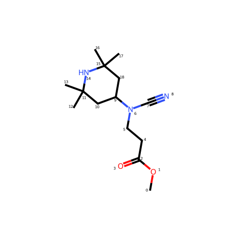 COC(=O)CCN(C#N)C1CC(C)(C)NC(C)(C)C1